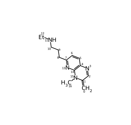 C=C1C=Nc2ccc(CCCNCC)nc2N1C